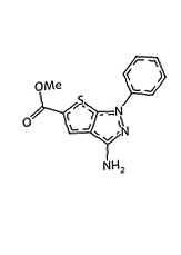 COC(=O)c1cc2c(N)nn(-c3ccccc3)c2s1